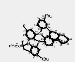 CCCCCCC1(C)Cc2cc(C(C)(C)C)cc3c2N1c1cc(C)cc2c1B3c1ccc(C(C)(C)C)cc1N2c1ccc(C(C)(C)C)cc1-c1ccc2ccccc2c1